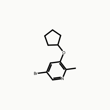 Cc1ncc(Br)cc1OC1CCCC1